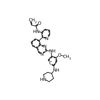 C=CC(=O)Nc1cccnc1-c1cccc2cnc(Nc3ccc(NC4CCNCC4)cc3OC)nc12